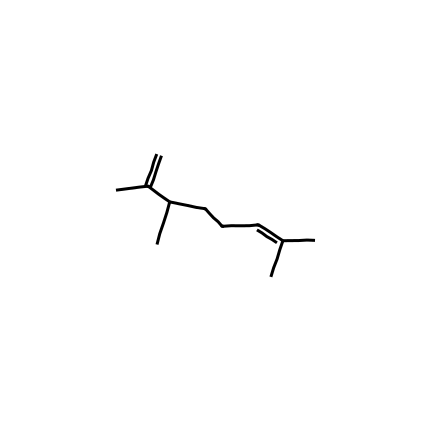 C=C(C)C(C)CCC=C(C)C